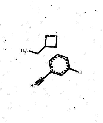 C#Cc1cccc(Cl)c1.CCC1CCC1